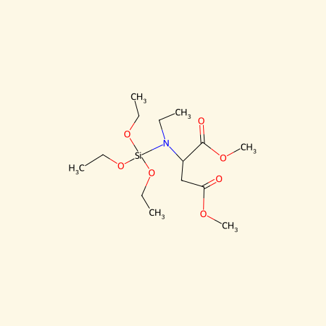 CCO[Si](OCC)(OCC)N(CC)C(CC(=O)OC)C(=O)OC